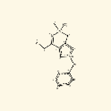 CC(C)CC1=N[N+](C)([O-])Cc2cn(Cc3ccncc3)cc21